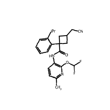 Cc1ccc(NC(=O)C2(c3ccccc3C(C)C)CC(CC#N)C2)c(OC(F)F)n1